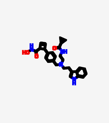 O=C(NCCN(CCc1c[nH]c2ccccc12)Cc1ccc(C2C#CC2C(=O)NO)cc1)C1CC1